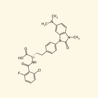 CN(C)c1ccc2c(c1)n(-c1ccc(CC[C@H](NC(=O)c3c(F)cccc3Cl)C(=O)O)cc1)c(=O)n2C